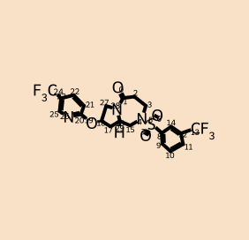 O=C1CCN(S(=O)(=O)c2cccc(C(F)(F)F)c2)C[C@@H]2C[C@@H](Oc3ccc(C(F)(F)F)cn3)CN12